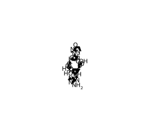 Nc1ncnc2c1ncn2[C@H]1[C@H](O)[C@@H]2O[P@@](=O)(S)OC[C@H]3O[C@@H](n4cnc5c4N=CCC5=O)[C@H](F)[C@@H]3OP(=O)(O)OC[C@]23C[C@H]13